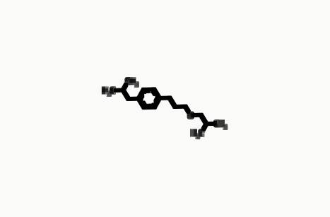 CC(C)COCCCc1ccc(CC(C)C)cc1